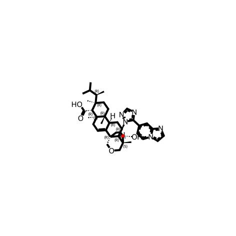 CC(C)[C@@H](C)[C@@]1(C)CC[C@]2(C)[C@H]3CC[C@@H]4[C@@]5(COC[C@@]4(C)[C@@H](O)[C@H](n4ncnc4-c4ccn6ccnc6c4)C5)C3=CC[C@@]2(C)[C@@H]1C(=O)O